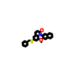 COc1cc2ccccc2cc1-n1c(=O)ccc2cc(SCc3ccccc3)ccc21